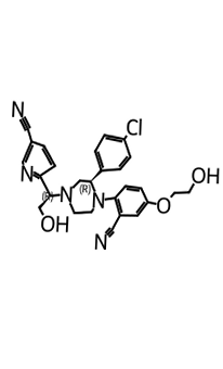 N#Cc1ccc([C@H](CO)N2CCN(c3ccc(OCCO)cc3C#N)[C@H](c3ccc(Cl)cc3)C2)nc1